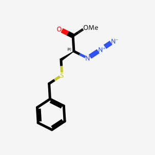 COC(=O)[C@H](CSCc1ccccc1)N=[N+]=[N-]